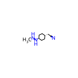 CNN[C@H]1CC[C@H](CC#N)CC1